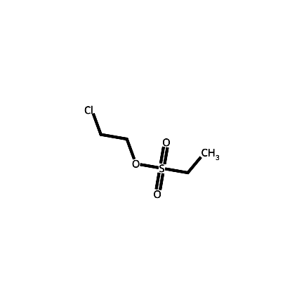 CCS(=O)(=O)OCCCl